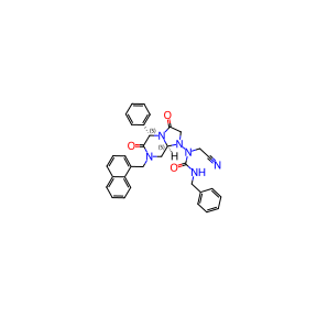 N#CCN(C(=O)NCc1ccccc1)N1CC(=O)N2[C@@H](c3ccccc3)C(=O)N(Cc3cccc4ccccc34)C[C@@H]21